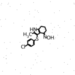 Cc1[nH]c2c(c1Sc1ccc(Cl)cc1)C(=NO)CCC2